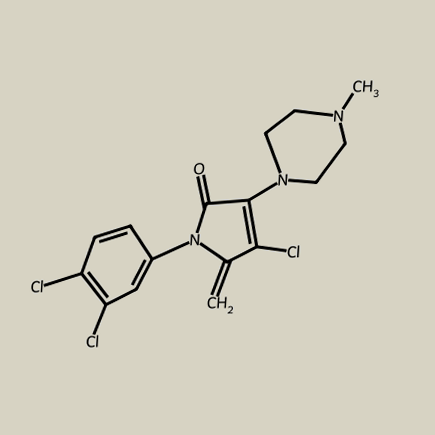 C=C1C(Cl)=C(N2CCN(C)CC2)C(=O)N1c1ccc(Cl)c(Cl)c1